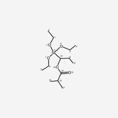 CCO[Si](OCC)(OCC)C(CC)OC(=O)C(C)C